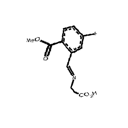 COC(=O)c1ccc(F)cc1C=NCC(=O)O